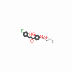 COCOc1ccc(C(=O)/C=C/c2ccc(F)cc2)c(O)c1